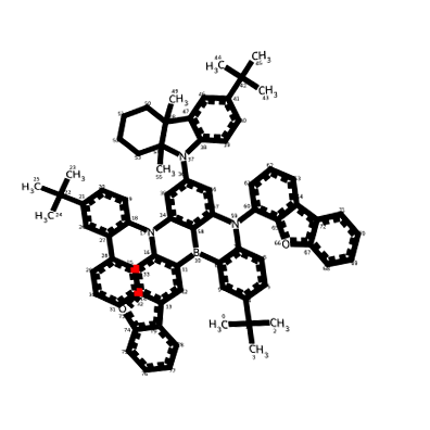 CC(C)(C)c1ccc2c(c1)B1c3cc4c(cc3N(c3ccc(C(C)(C)C)cc3-c3ccccc3)c3cc(N5c6ccc(C(C)(C)C)cc6C6(C)CCCCC56C)cc(c31)N2c1cccc2c1oc1ccccc12)oc1ccccc14